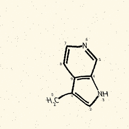 [CH2]c1c[nH]c2cnccc12